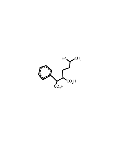 CC(S)CCC(C(=O)O)C(C(=O)O)c1ccccc1